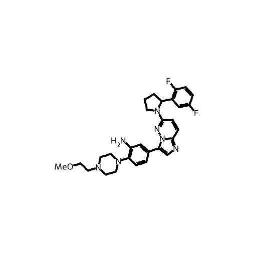 COCCN1CCN(c2ccc(-c3cnc4ccc(N5CCCC5c5cc(F)ccc5F)nn34)cc2N)CC1